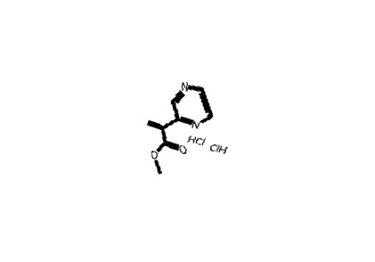 C=C(C(=O)OC)c1cnccn1.Cl.Cl